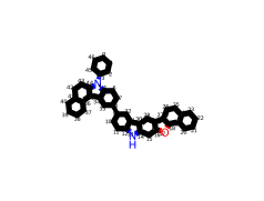 c1ccc(-n2c3ccc(-c4ccc5[nH]c6cc7oc8c9ccccc9ccc8c7cc6c5c4)cc3c3c4ccccc4ccc32)cc1